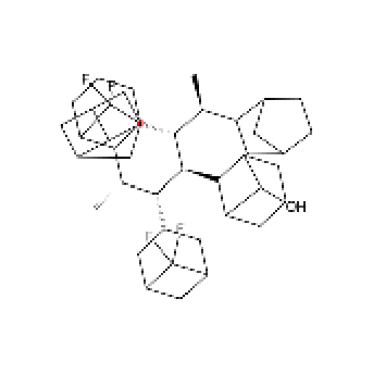 C[C@H](C1C2CCCC1C2(F)F)[C@@H](C1CC2CC(C1)C2(F)F)[C@H](C1C2CCCC1C2O)[C@@H]([C@@H](C)C1CC2CCC1C2)C12CC3CC(C1)C32